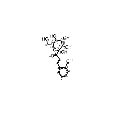 O=C(C=Cc1ccccc1O)[C@@]1(O)O[C@H](CO)[C@@H](O)[C@H](O)[C@H]1O